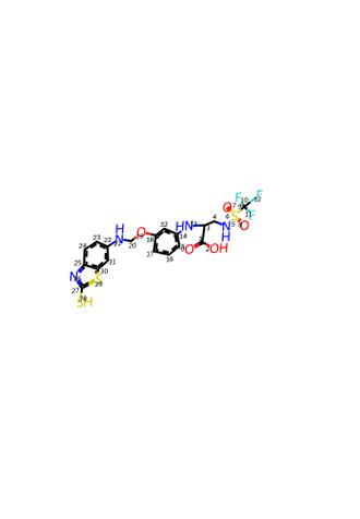 O=C(O)C(CNS(=O)(=O)C(F)(F)F)Nc1cccc(OCNc2ccc3nc(S)sc3c2)c1